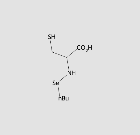 CCCC[Se]NC(CS)C(=O)O